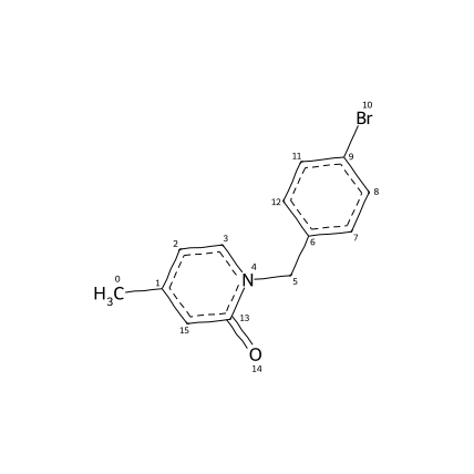 Cc1ccn(Cc2ccc(Br)cc2)c(=O)c1